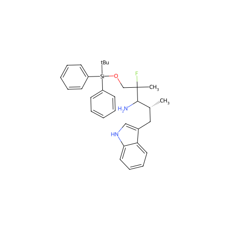 C[C@H](Cc1c[nH]c2ccccc12)C(N)C(C)(F)CO[Si](c1ccccc1)(c1ccccc1)C(C)(C)C